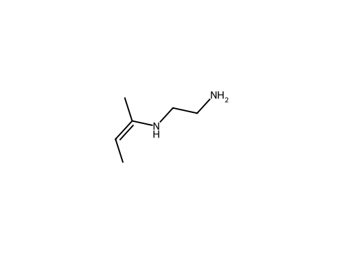 CC=C(C)NCCN